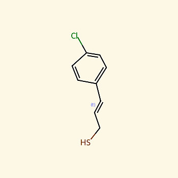 SC/C=C/c1ccc(Cl)cc1